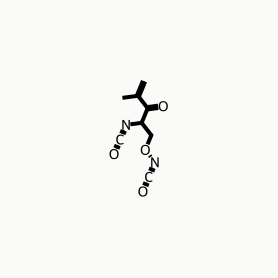 C=C(C)C(=O)C(CON=C=O)N=C=O